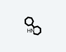 C1CCC[C](C2CCCCCN2)CC1